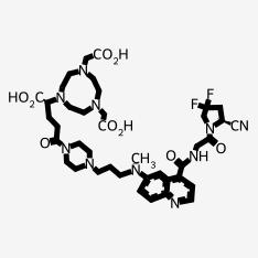 CN(CCCN1CCN(C(=O)CC[C@H](C(=O)O)N2CCN(CC(=O)O)CCN(CC(=O)O)CC2)CC1)c1ccc2nccc(C(=O)NCC(=O)N3CC(F)(F)C[C@H]3C#N)c2c1